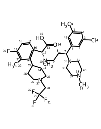 Cc1cc(Cl)cc([C@H](CCN(C)[C@@H](C(=O)O)c2ccc(F)c(C)c2C2CCN(CC(F)(F)F)CC2)N2CCN(C)CC2)c1